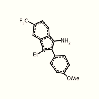 CCn1c(-c2ccc(OC)cc2)c(N)c2ccc(C(F)(F)F)cc21